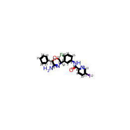 C[C@@]1(c2cc(NC(=O)c3ccc(I)cn3)ccc2F)CO[C@H](c2ccccc2)C(N)=N1